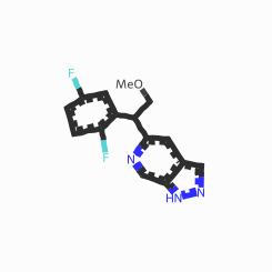 COCC(c1cc2cn[nH]c2cn1)c1cc(F)ccc1F